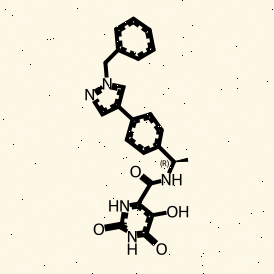 C[C@@H](NC(=O)c1[nH]c(=O)[nH]c(=O)c1O)c1ccc(-c2cnn(Cc3ccccc3)c2)cc1